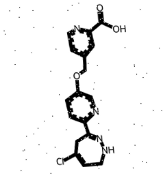 O=C(O)c1cc(COc2ccc(C3=NNCC=C(Cl)C3)nc2)ccn1